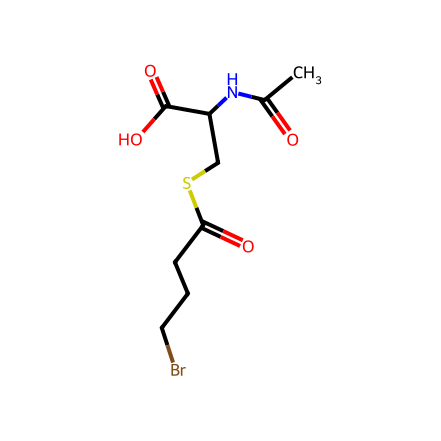 CC(=O)NC(CSC(=O)CCCBr)C(=O)O